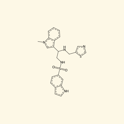 Cn1cc(C(CNS(=O)(=O)c2ccc3cc[nH]c3c2)NCc2cncs2)c2ccccc21